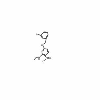 [CH2]CNc1nc(NCc2cccc(Br)c2)ccc1[N+](=O)[O-]